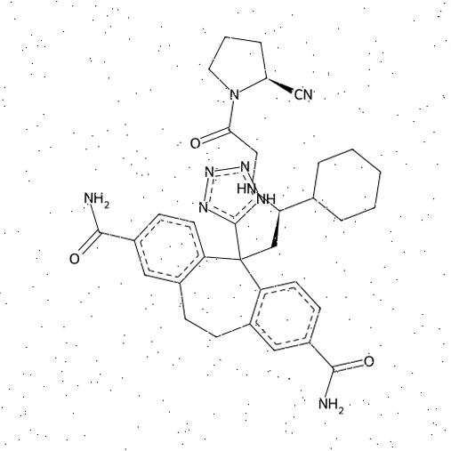 N#C[C@@H]1CCCN1C(=O)CN[C@H](CC1(c2nnn[nH]2)c2ccc(C(N)=O)cc2CCc2cc(C(N)=O)ccc21)C1CCCCC1